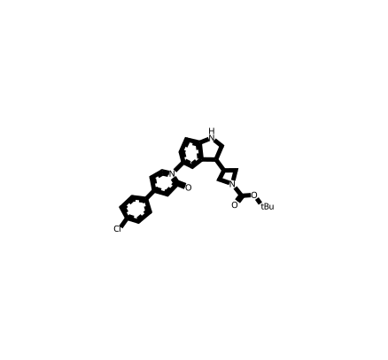 CC(C)(C)OC(=O)N1CC(C2CNc3ccc(-n4ccc(-c5ccc(Cl)cc5)cc4=O)cc32)C1